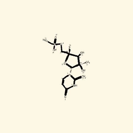 C=C1NC(=O)C=CN1[C@@H]1O[C@](F)(COP(=O)(O)O)[C@@H](O)[C@@]1(C)O